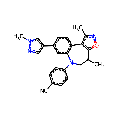 Cc1noc2c1-c1ccc(-c3cnn(C)c3)cc1N(c1ccc(C#N)cc1)CC2C